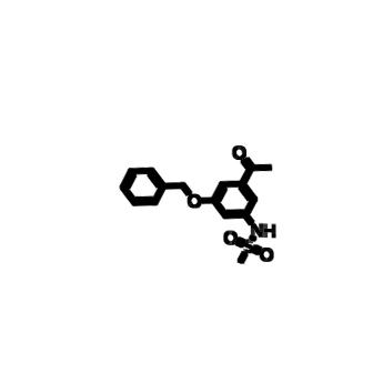 CC(=O)c1cc(NS(C)(=O)=O)cc(OCc2ccccc2)c1